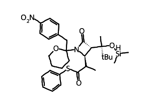 CC(C(=O)Sc1ccccc1)[C@@H]1[C@@H]([C@@](C)(O[SiH](C)C)C(C)(C)C)C(=O)N1C1(Cc2ccc([N+](=O)[O-])cc2)CCCCO1